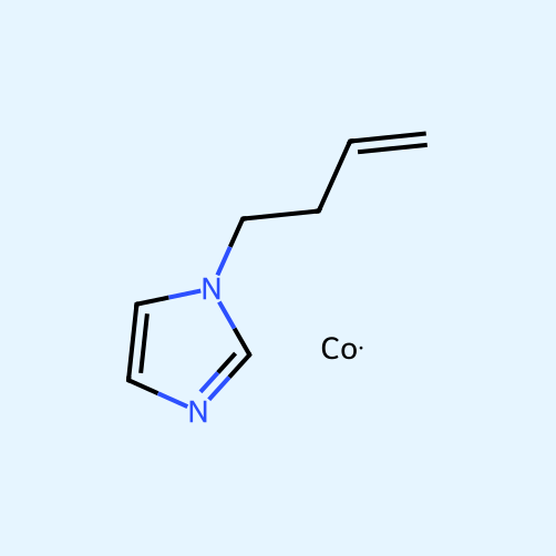 C=CCCn1ccnc1.[Co]